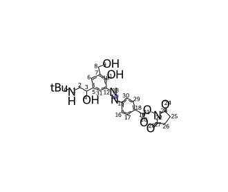 CC(C)(C)NCC(O)c1cc(CO)c(O)c(/N=N/c2ccc(C(=O)ON3C(=O)CCC3=O)cc2)c1